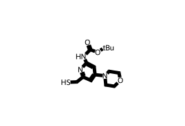 CC(C)(C)OC(=O)Nc1cc(N2CCOCC2)cc(CS)n1